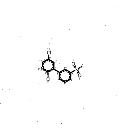 CS(=O)(=O)c1cccc(-c2cc(Cl)cnc2Cl)c1